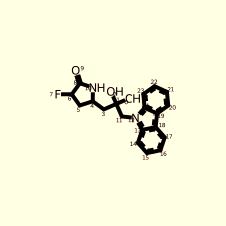 CC(O)(CC1CC(F)C(=O)N1)Cn1c2ccccc2c2ccccc21